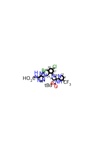 CC(C)(C)OC(=O)NC1(c2cc(C(F)(F)F)ccn2)CCN(c2cc(Cl)cc(Br)c2Cn2cnc3c(NC(=O)O)ncnc32)C1